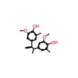 C=C(c1cc(C)c(O)c(OC)c1)C(C)c1cc(C)c(O)c(OC)c1